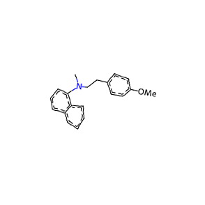 COc1ccc(CCN(C)c2cccc3ccccc23)cc1